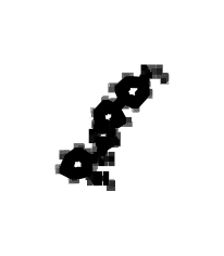 Nc1ccc(-c2ccc3nc(Nc4ccccc4N)nn3c2)cc1